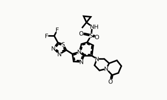 CC1(NS(=O)(=O)c2cc(N3CCN4C(=O)CCCC4C3)c3ncc(-c4nnc(C(F)F)s4)n3c2)CC1